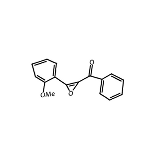 COc1ccccc1C1=C(C(=O)c2ccccc2)O1